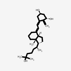 C=C1/C(=C\C=C2/CCC[C@]3(C)[C@@H]2CC[C@@H]3[C@H](C)CCCC(C)(C)O)C[C@@H](O)C[C@@H]1O